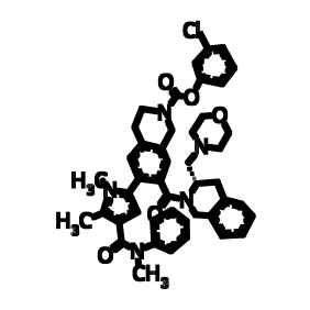 Cc1c(C(=O)N(C)c2ccccc2)cc(-c2cc3c(cc2C(=O)N2Cc4ccccc4C[C@H]2CN2CCOCC2)CN(C(=O)Oc2cccc(Cl)c2)CC3)n1C